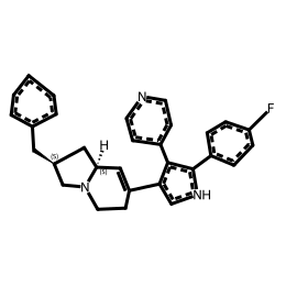 Fc1ccc(-c2[nH]cc(C3=C[C@@H]4C[C@H](Cc5ccccc5)CN4CC3)c2-c2ccncc2)cc1